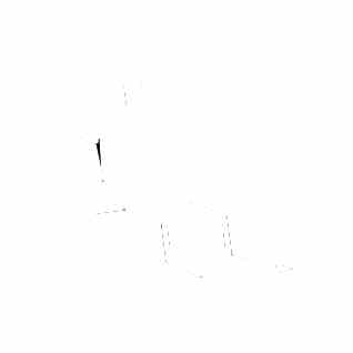 COc1ccc([C@@H]2O[C@H]2C(=O)OC(C)(C)C)cc1